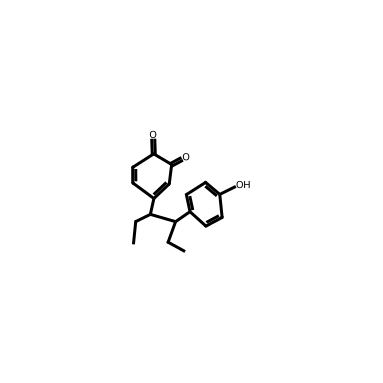 CCC(C1=CC(=O)C(=O)C=C1)C(CC)c1ccc(O)cc1